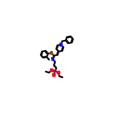 CCOP(=O)(CCC/N=C(\C=C1C=CN(Cc2ccccc2)C=C1)Sc1ccccc1C)OCC